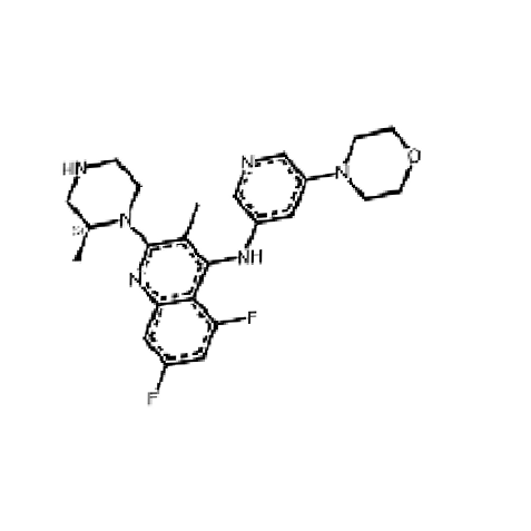 Cc1c(N2CCNC[C@@H]2C)nc2cc(F)cc(F)c2c1Nc1cncc(N2CCOCC2)c1